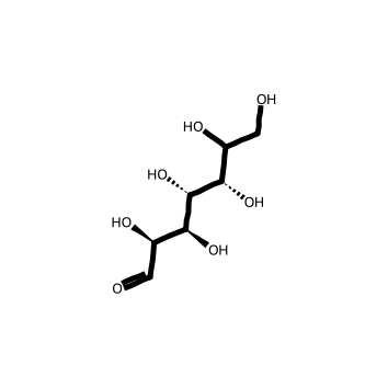 O=C[C@@H](O)[C@H](O)[C@H](O)[C@@H](O)C(O)CO